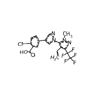 C=Cc1c(C(F)(F)C(F)(F)F)nn(C)c1-n1cc(-c2ccc(Cl)c(C(=O)O)c2)cn1